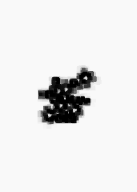 COc1ccccc1-c1cc(C2c3ccc(OCc4ccccc4)cc3C(=O)OC2(O)C(=O)O)cc(-c2ccccc2OC)c1C